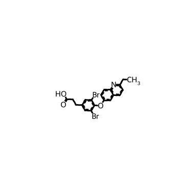 CCc1ccc2cc(Oc3c(Br)cc(CCC(=O)O)cc3Br)ccc2n1